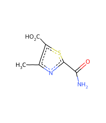 Cc1nc(C(N)=O)sc1C(=O)O